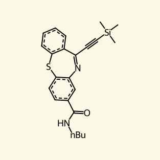 CCCCNC(=O)c1ccc2c(c1)N=C(C#C[Si](C)(C)C)c1ccccc1S2